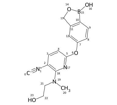 [C-]#[N+]c1ccc(Oc2ccc3c(c2)COB3O)nc1N(C)CCO